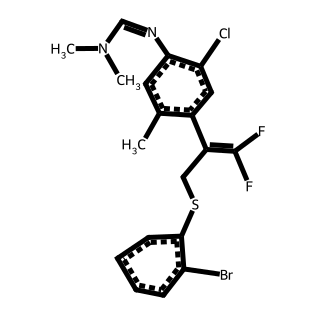 Cc1cc(/N=C\N(C)C)c(Cl)cc1C(CSc1ccccc1Br)=C(F)F